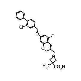 CC1(C(=O)O)CN(CC2=Cc3c(F)cc(OCc4ccc(-c5ccccc5)c(Cl)c4)cc3OC2)C1